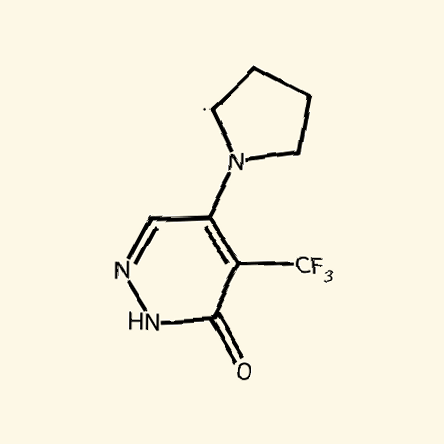 O=c1[nH]ncc(N2[CH]CCC2)c1C(F)(F)F